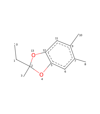 [CH2]CC1(C)Oc2cc(C)c(C)cc2O1